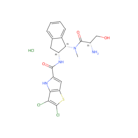 CN(C(=O)[C@@H](N)CO)[C@H]1c2ccccc2C[C@H]1NC(=O)c1cc2sc(Cl)c(Cl)c2[nH]1.Cl